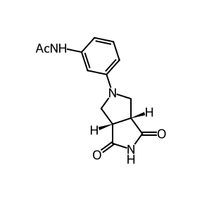 CC(=O)Nc1cccc(N2C[C@@H]3C(=O)NC(=O)[C@@H]3C2)c1